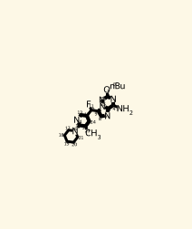 CCCCOc1nc(N)c2ncc(C(F)c3cnc(N4CCCCC4)c(C)c3)n2n1